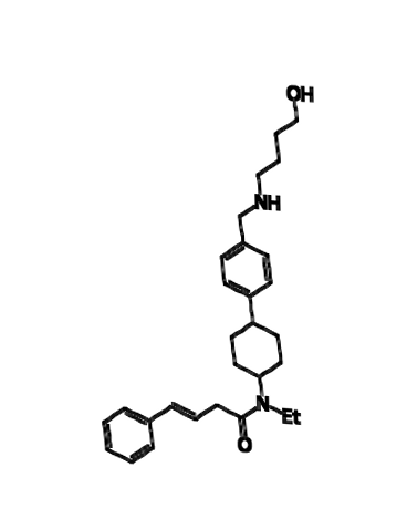 CCN(C(=O)C/C=C/c1ccccc1)C1CCC(c2ccc(CNCCCCO)cc2)CC1